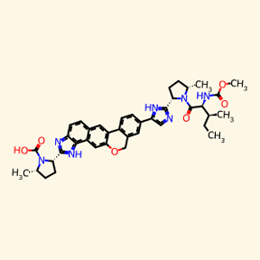 CC[C@H](C)[C@H](NC(=O)OC)C(=O)N1[C@@H](C)CC[C@H]1c1ncc(-c2ccc3c(c2)COc2cc4c(ccc5nc([C@@H]6CC[C@H](C)N6C(=O)O)[nH]c54)cc2-3)[nH]1